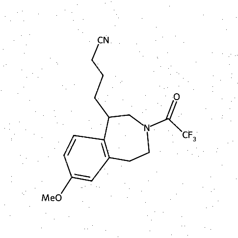 COc1ccc2c(c1)CCN(C(=O)C(F)(F)F)CC2CCCC#N